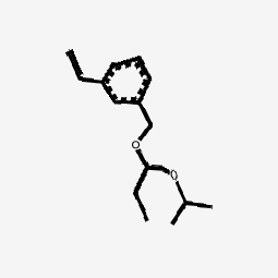 C=Cc1cccc(COC(CC)OC(C)C)c1